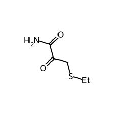 CCSCC(=O)C(N)=O